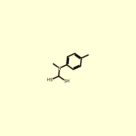 Cc1ccc(N(C)C(S)S)cc1